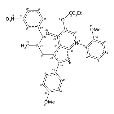 CCOC(=O)Oc1cn(-c2ccccc2OC)c2sc(-c3ccc(OC)cc3)c(CN(C)Cc3cccc([N+](=O)[O-])c3)c2c1=O